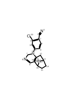 N#Cc1ccc(N2CN=CC3=C2CC2CCC3N2)cc1Cl